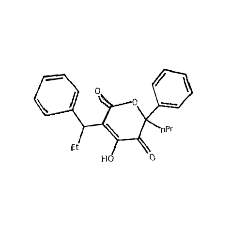 CCCC1(c2ccccc2)OC(=O)C(C(CC)c2ccccc2)=C(O)C1=O